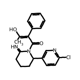 C/C(O)=C(\C(=O)N1C(=N)CCCC1c1ccc(Cl)nc1)c1ccccc1